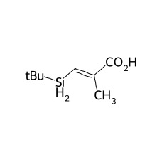 C/C(=C\[SiH2]C(C)(C)C)C(=O)O